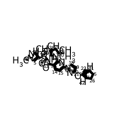 Cc1nn(C)cc1S(=O)(=O)NC(=O)c1ccc(-n2ccc(O[C@H]3C[C@@H]4CC[C@H]3C4)n2)nc1N1CC(C)(C)CC1(C)C